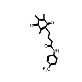 CC1=C(C)C(=O)C(CCCC(=O)Nc2ccc(C(F)(F)F)cc2)=C(C)C1=O